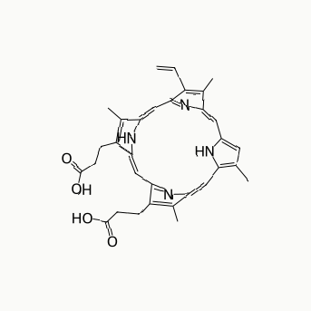 C=CC1=C(C)c2cc3cc(C)c(cc4nc(cc5[nH]c(cc1n2)c(C)c5CCC(=O)O)C(CCC(=O)O)=C4C)[nH]3